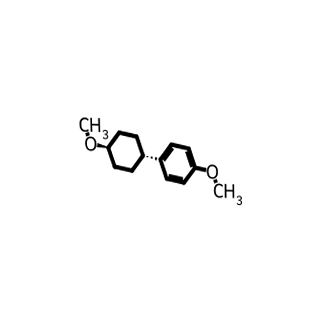 COc1ccc([C@H]2CC[C@H](OC)CC2)cc1